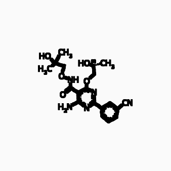 C[C@@H](O)COc1nc(-c2cccc(C#N)c2)nc(N)c1C(=O)NOCC(C)(C)O